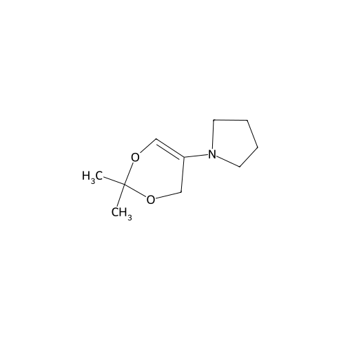 CC1(C)OC=C(N2CCCC2)CO1